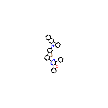 c1ccc(-c2nc(-c3cccc4c3sc3cc(-n5c6ccccc6c6cc7ccccc7cc65)ccc34)nc3c2oc2ccccc23)cc1